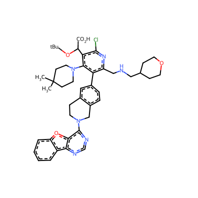 CC1(C)CCN(c2c(-c3ccc4c(c3)CCN(c3ncnc5c3oc3ccccc35)C4)c(CNCC3CCOCC3)nc(Cl)c2C(OC(C)(C)C)C(=O)O)CC1